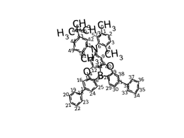 Cc1ccc(C)c(N(c2cc3c4c(c2)Oc2cc(-c5ccccc5)ccc2B4c2ccc(-c4ccccc4)cc2O3)c2cc(C(C)(C)C)ccc2C)c1